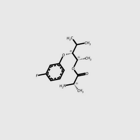 CC(C)[C@@H](Oc1cccc(F)c1)[C@H](C)OC(=O)[C@H](C)N